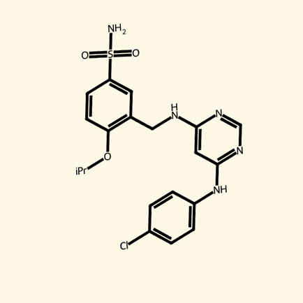 CC(C)Oc1ccc(S(N)(=O)=O)cc1CNc1cc(Nc2ccc(Cl)cc2)ncn1